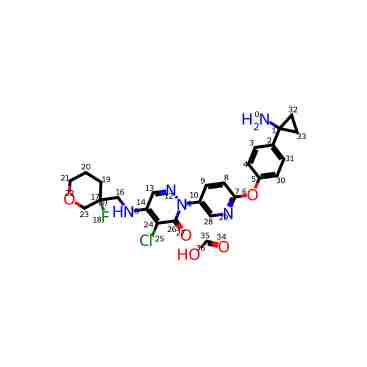 NC1(c2ccc(Oc3ccc(-n4ncc(NC[C@@]5(F)CCCOC5)c(Cl)c4=O)cn3)cc2)CC1.O=CO